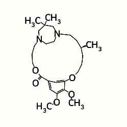 COc1cc2cc(c1OC)OCCC[C@H](C)CCN1CCN(CCCOC2=O)CC(C)(C)C1